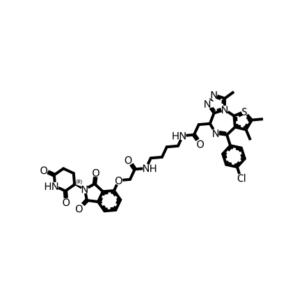 Cc1sc2c(c1C)C(c1ccc(Cl)cc1)=NC(CC(=O)NCCCCNC(=O)COc1cccc3c1C(=O)N([C@@H]1CCC(=O)NC1=O)C3=O)c1nnc(C)n1-2